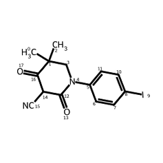 CC1(C)CN(c2ccc(I)cc2)C(=O)C(C#N)C1=O